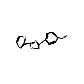 Nc1ccc(-c2noc(-c3cccs3)n2)cc1